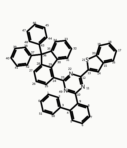 c1ccc(-c2ccccc2-c2nc(-c3cc4ccccc4s3)nc(-c3cccc4c3-c3ccccc3C4(c3ccccc3)c3ccccc3)n2)cc1